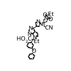 CCC(C(=O)O)(c1cccc(Oc2ccccc2)c1)n1ccc2c(-c3cnn(C4(CC#N)CN(S(=O)(=O)CC)C4)c3)ncnc21